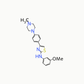 COc1cccc(Nc2nc(-c3ccc(N4CCN(C)CC4)cc3)cs2)c1